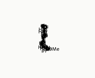 COc1cc(C(C)C)c(NC(=O)NS(=O)(=O)c2cnn3c2OCC(C)(CCC2(C)COc4c(S(=O)(=O)NC(=O)NC5CCCCc6ccccc65)cnn4C2)C3)c(C(C)C)n1